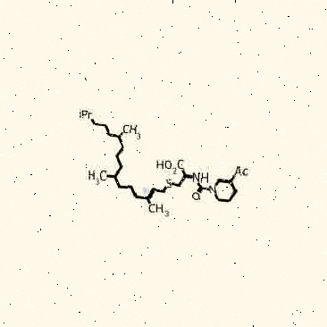 CC(=O)C1CCCN(C(=O)NC(CSC/C=C(\C)CCCC(C)CCCC(C)CCCC(C)C)C(=O)O)C1